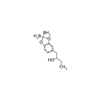 BC1(B)Oc2ccc(CC(O)CC)cc2O1